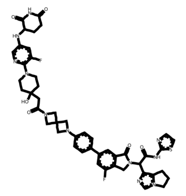 O=C1CCC(Nc2cnc(N3CCC(O)(CC(=O)N4CC5(C4)CN(c4ccc(-c6cc(F)c7c(c6)C(=O)N(C(C(=O)Nc6nccs6)c6ncn8c6CCC8)C7)cc4)C5)CC3)c(F)c2)C(=O)N1